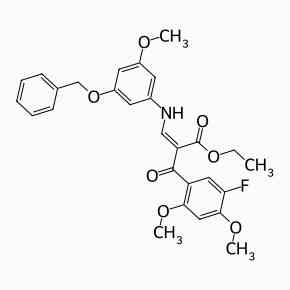 CCOC(=O)/C(=C\Nc1cc(OC)cc(OCc2ccccc2)c1)C(=O)c1cc(F)c(OC)cc1OC